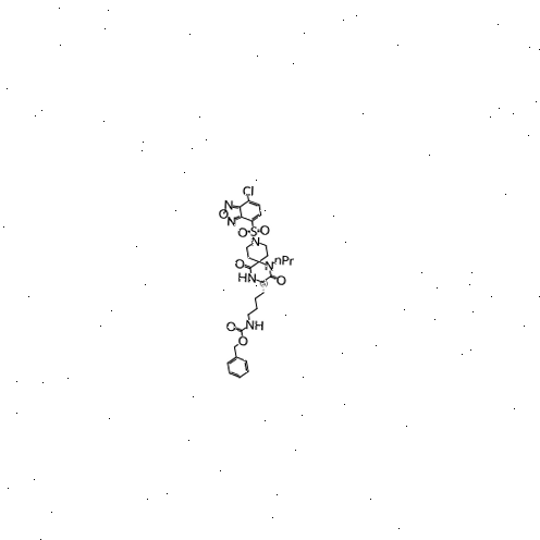 CCCN1C(=O)[C@H](CCCCNC(=O)OCc2ccccc2)NC(=O)C12CCN(S(=O)(=O)c1ccc(Cl)c3nonc13)CC2